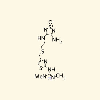 C/N=C(/NC)Nc1nc(CSCCNc2n[s+]([O-])nc2N)cs1